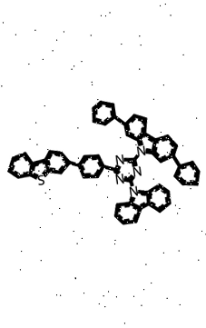 c1ccc(-c2ccc3c4ccc(-c5ccccc5)cc4n(-c4nc(-c5ccc(-c6ccc7c(c6)sc6ccccc67)cc5)nc(-n5c6ccccc6c6ccccc65)n4)c3c2)cc1